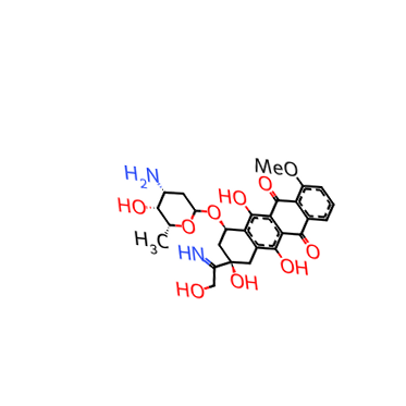 COc1cccc2c1C(=O)c1c(O)c3c(c(O)c1C2=O)C[C@](O)(C(=N)CO)C[C@H]3OC1C[C@@H](N)[C@@H](O)[C@@H](C)O1